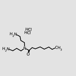 CCCCCCCC(=O)N(CCCN)CCCN.Cl.Cl